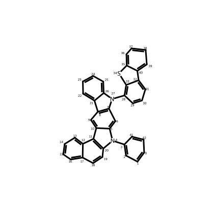 c1ccc(-n2c3cc4c(cc3c3c5ccccc5ccc32)c2ccccc2n4-c2cccc3c2sc2ccccc23)cc1